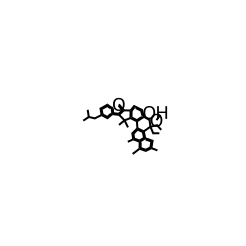 CCC1(CC)c2c(cc(C)c3c(C)cc(C)cc23)-c2c(ccc3c2C(C)(C)c2c-3oc3ccc(CC(C)C)cc23)C1(O)OC